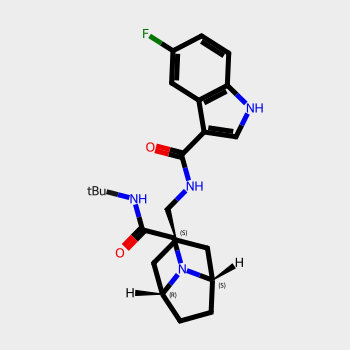 CC(C)(C)NC(=O)CN1[C@@H]2CC[C@H]1C[C@H](CNC(=O)c1c[nH]c3ccc(F)cc13)C2